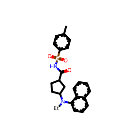 CCN(c1cccc2ccccc12)C1CCC(C(=O)NS(=O)(=O)c2ccc(C)cc2)C1